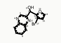 OC(c1cnc2ccccc2n1)c1occc1Br